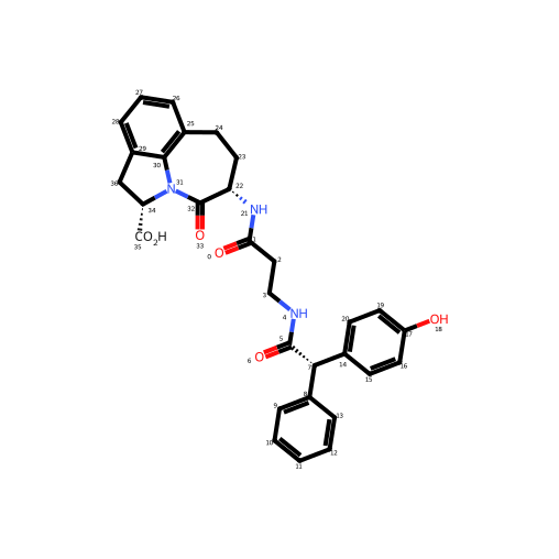 O=C(CCNC(=O)[C@@H](c1ccccc1)c1ccc(O)cc1)N[C@H]1CCc2cccc3c2N(C1=O)[C@H](C(=O)O)C3